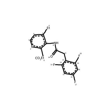 CCOC(=O)c1nccc(CC)c1NC(=O)Cc1c(F)cc(F)cc1F